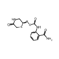 NC(=O)c1ccccc1NC(=O)ON=C1CNC(=O)CS1